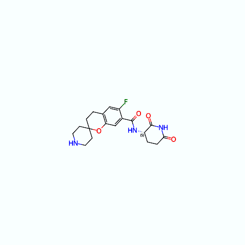 O=C1CC[C@H](NC(=O)c2cc3c(cc2F)CCC2(CCNCC2)O3)C(=O)N1